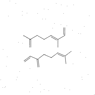 C=CC(=C)CCC=C(C)C.C=CC(C)=CCCC(=C)C